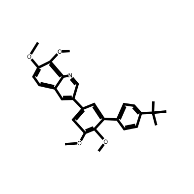 COc1cc(-c2cnc3c(OC)c(OC)ccc3c2)cc(-c2ccc(C(C)(C)C)cc2)c1OC